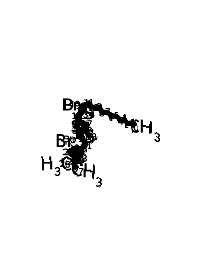 CCCCCCCCCCc1cc(Br)c(Cc2cc3sc(Cc4sc(C(C)C)cc4Br)cc3s2)s1